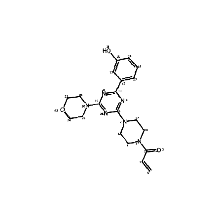 C=CC(=O)N1CCN(c2nc(-c3cccc(O)c3)nc(N3CCOCC3)n2)CC1